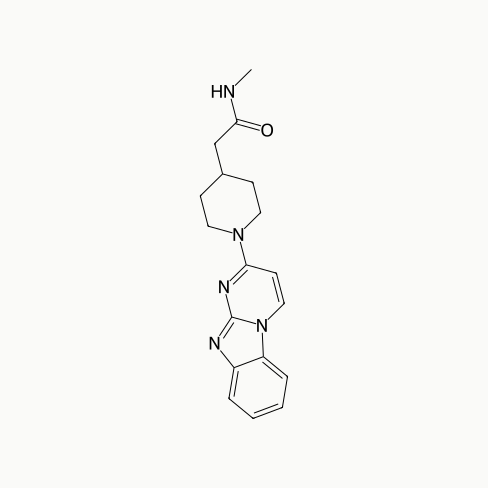 CNC(=O)CC1CCN(c2ccn3c(n2)nc2ccccc23)CC1